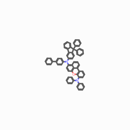 c1ccc(-c2ccc(N(c3ccc4c(c3)-c3ccccc3C4(c3ccccc3)c3ccccc3)c3ccc4c5c(cccc35)-c3cccc(N(c5ccccc5)c5ccccc5)c3O4)cc2)cc1